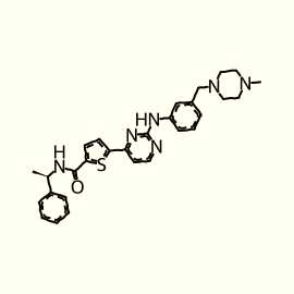 C[C@@H](NC(=O)c1ccc(-c2ccnc(Nc3cccc(CN4CCN(C)CC4)c3)n2)s1)c1ccccc1